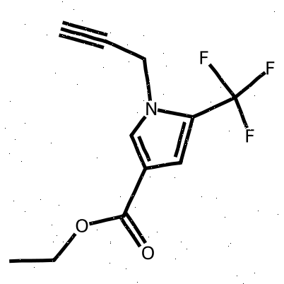 C#CCn1cc(C(=O)OCC)cc1C(F)(F)F